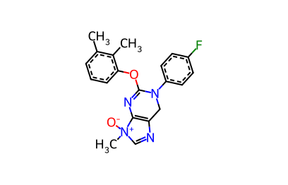 Cc1cccc(OC2=NC3=C(CN2c2ccc(F)cc2)N=C[N+]3(C)[O-])c1C